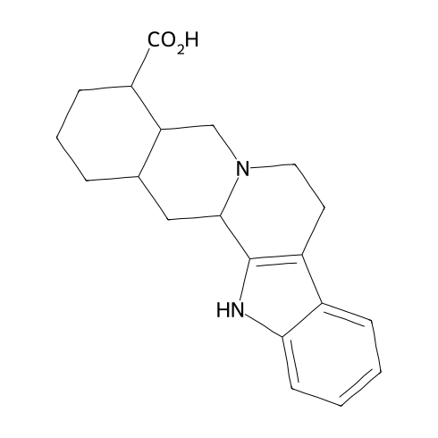 O=C(O)C1CCCC2CC3c4[nH]c5ccccc5c4CCN3CC21